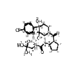 CC(C)(O)CNC(=O)N[C@@H]1CCCC1C(=O)N1CC[C@](O)(c2ccc(Cl)cc2)C(C)(C)C1